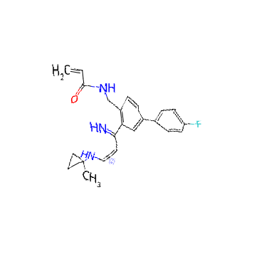 C=CC(=O)NCc1ccc(-c2ccc(F)cc2)cc1C(=N)/C=C\NC1(C)CC1